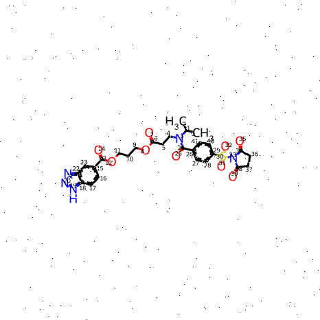 CC(C)N(CCC(=O)OCCCOC(=O)c1ccc2[nH]nnc2c1)C(=O)c1ccc(S(=O)(=O)N2C(=O)CCC2=O)cc1